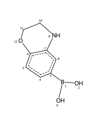 OB(O)c1ccc2c(c1)NCCO2